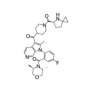 Cc1c(C(=O)C2CCN(C(=O)[C@@H]3CCC4(CC4)N3)CC2)c2ccncc2n1-c1ccc(F)cc1C(=O)N1[C@H](C)COC[C@H]1C